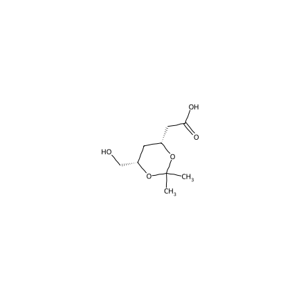 CC1(C)O[C@H](CO)C[C@H](CC(=O)O)O1